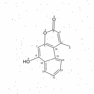 Cc1cc(=O)oc2cc(O)c3ccccc3c12